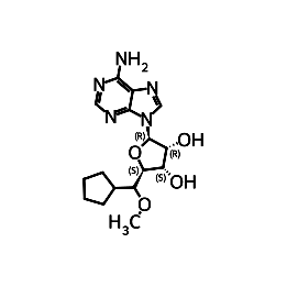 COC(C1CCCC1)[C@H]1O[C@@H](n2cnc3c(N)ncnc32)[C@H](O)[C@@H]1O